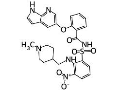 CN1CCC(CNc2c([N+](=O)[O-])cccc2S(=O)(=O)NC(=O)c2ccccc2Oc2cnc3[nH]ccc3c2)CC1